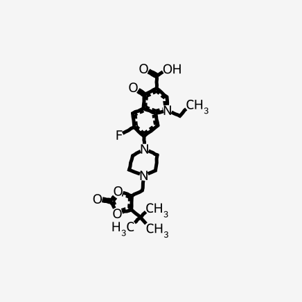 CCn1cc(C(=O)O)c(=O)c2cc(F)c(N3CCN(Cc4oc(=O)oc4C(C)(C)C)CC3)cc21